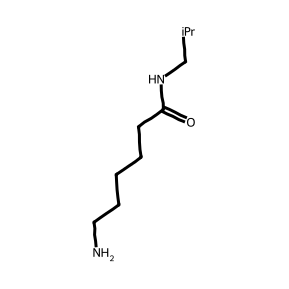 [CH2]C(C)CNC(=O)CCCCCN